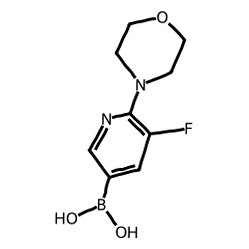 OB(O)c1cnc(N2CCOCC2)c(F)c1